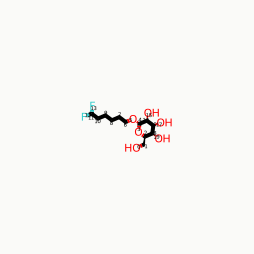 OC[C@H]1O[C@@H](OCCCCCC(F)F)[C@H](O)[C@@H](O)[C@@H]1O